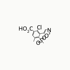 Cc1cc(C(=O)O)c(Cl)c(-c2cnco2)c1S(C)(=O)=O